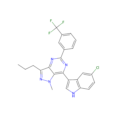 CCCc1nn(C)c2c(-c3c[nH]c4ccc(Cl)cc34)nc(-c3cccc(C(F)(F)F)c3)nc12